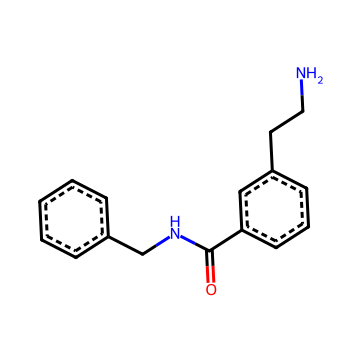 NCCc1cccc(C(=O)NCc2ccccc2)c1